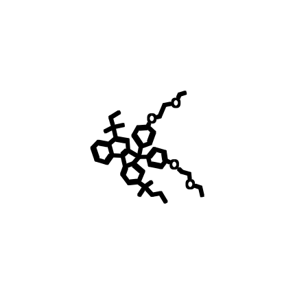 CCCC(C)(C)c1ccc2c(c1)C(c1ccc(OCCOCC)cc1)(c1ccc(OCCOCC)cc1)c1cc(C(C)(C)CC)c3ccccc3c1-2